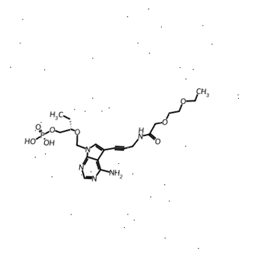 CCOCCOCC(=O)NCC#Cc1cn(CO[C@@H](CC)COP(=O)(O)O)c2ncnc(N)c12